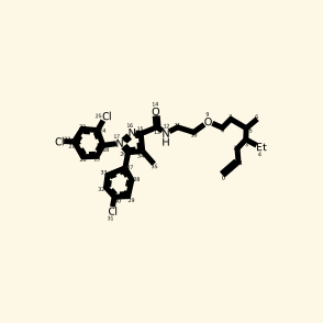 C=CCC(CC)C(C)CCOCCNC(=O)c1nn(-c2ccc(Cl)cc2Cl)c(-c2ccc(Cl)cc2)c1C